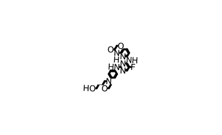 O=C1COc2ccc(Nc3nc(Nc4ccc(N5CCO[C@H](CCO)C5)cc4)ncc3F)nc2N1